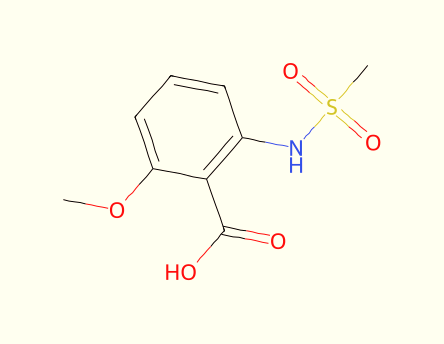 COc1cccc(NS(C)(=O)=O)c1C(=O)O